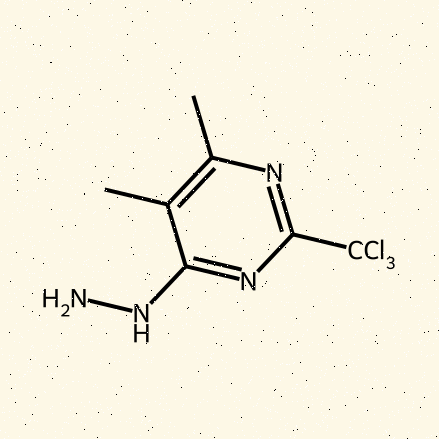 Cc1nc(C(Cl)(Cl)Cl)nc(NN)c1C